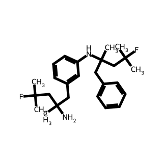 CC(C)(F)CC(C)(N)Cc1cccc(NC(C)(Cc2ccccc2)CC(C)(C)F)c1